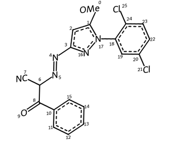 COc1cc(N=NC(C#N)C(=O)c2ccccc2)nn1-c1cc(Cl)ccc1Cl